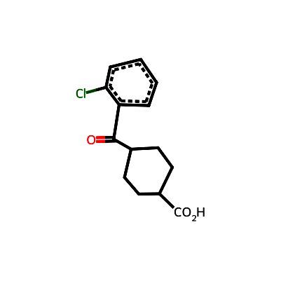 O=C(O)C1CCC(C(=O)c2ccccc2Cl)CC1